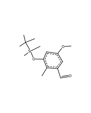 COc1cc(C=O)c(C)c(O[Si](C)(C)C(C)(C)C)c1